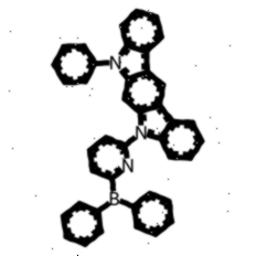 c1ccc(B(c2ccccc2)c2cccc(-n3c4ccccc4c4cc5c6ccccc6n(-c6ccccc6)c5cc43)n2)cc1